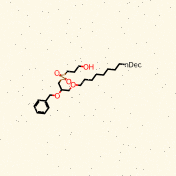 CCCCCCCCCCCCCCCCCCOCC(CS(=O)(=O)CCCO)OCc1ccccc1